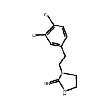 N=C1NCCN1CCc1ccc(Cl)c(Cl)c1